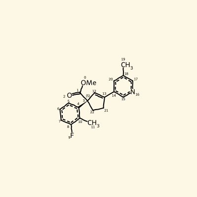 COC(=O)[C@]1(c2cccc(F)c2C)C=C(c2cncc(C)c2)CC1